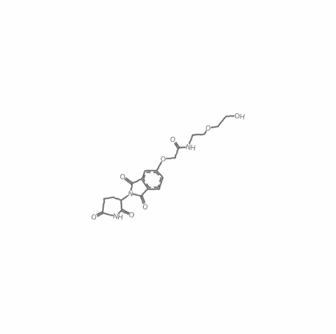 O=C(COc1ccc2c(c1)C(=O)N(C1CCC(=O)NC1=O)C2=O)NCCOCCO